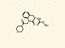 CC(C)(C)OC(=O)N[C@H]1Cc2ccccc2N(CC(=O)N2CCOCC2)C1=O